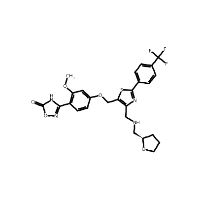 COc1cc(OCc2sc(-c3ccc(C(F)(F)F)cc3)nc2CNC[C@H]2CCCO2)ccc1-c1noc(=O)[nH]1